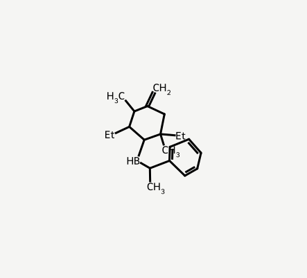 C=C1CC(C)(CC)C(BC(C)c2ccccc2)C(CC)C1C